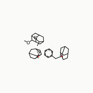 C1[N]C2CC3CC1CC(C3)C2.COC1C2CC3CC(CC1C3C)[N]2.c1ccc(CC2C3CC4CC(C3)[N]C2C4)cc1